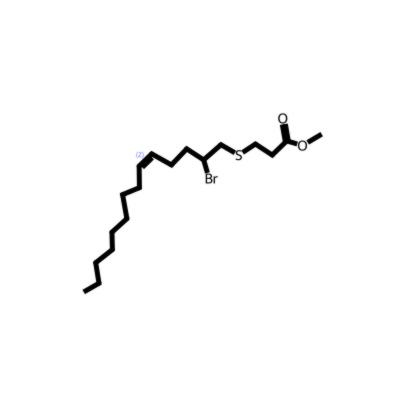 CCCCCCCC/C=C\CCC(Br)CSCCC(=O)OC